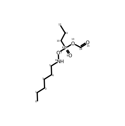 CCCCCCNOP(=O)(CCC)OC=O